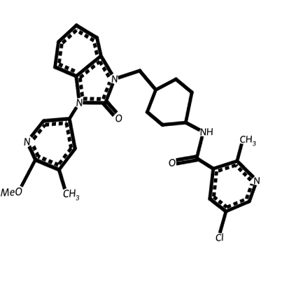 COc1ncc(-n2c(=O)n(CC3CCC(NC(=O)c4cc(Cl)cnc4C)CC3)c3ccccc32)cc1C